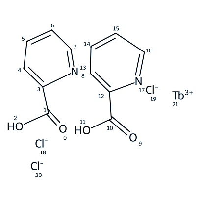 O=C(O)c1ccccn1.O=C(O)c1ccccn1.[Cl-].[Cl-].[Cl-].[Tb+3]